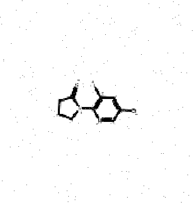 O=C1CCCN1c1ncc(Br)cc1Cl